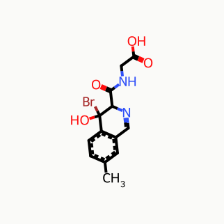 Cc1ccc2c(c1)C=NC(C(=O)NCC(=O)O)C2(O)Br